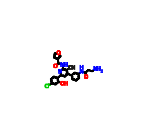 N#Cc1c(-c2cccc(NC(=O)CCN)c2)cc(-c2ccc(Cl)cc2O)nc1NC(=O)c1ccoc1